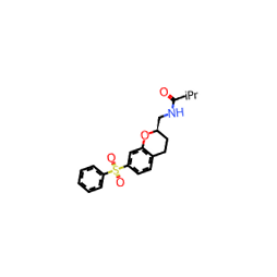 CC(C)C(=O)NC[C@H]1CCc2ccc(S(=O)(=O)c3ccccc3)cc2O1